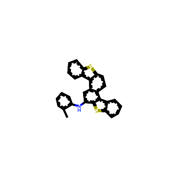 Cc1ccccc1Nc1cc2c(ccc3sc4ccccc4c32)c2c1sc1ccccc12